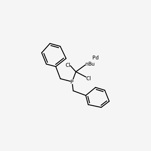 CCCCC(Cl)(Cl)P(Cc1ccccc1)Cc1ccccc1.[Pd]